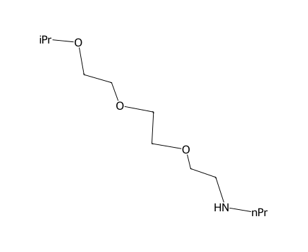 CCCNCCOCCOCCOC(C)C